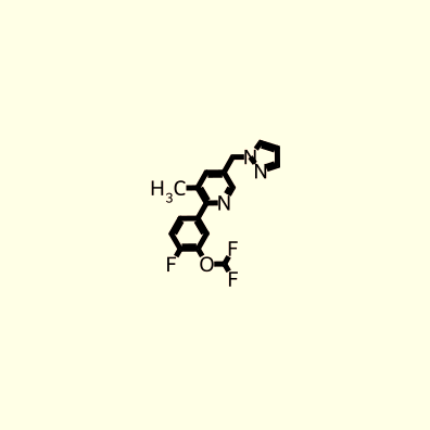 Cc1cc(Cn2cccn2)cnc1-c1ccc(F)c(OC(F)F)c1